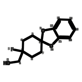 OCC1(F)CCC2(CC1)Oc1ccccc1O2